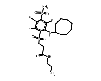 NCCNC(=O)CCS(=O)(=O)c1c(F)c(F)c(S(N)(=O)=O)c(F)c1NC1CCCCCCC1